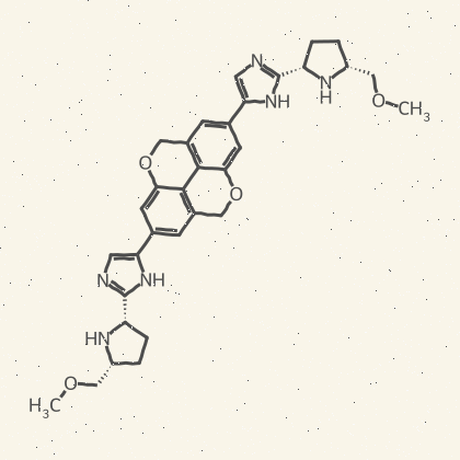 COC[C@H]1CC[C@@H](c2ncc(-c3cc4c5c(c3)OCc3cc(-c6cnc([C@@H]7CC[C@H](COC)N7)[nH]6)cc(c3-5)OC4)[nH]2)N1